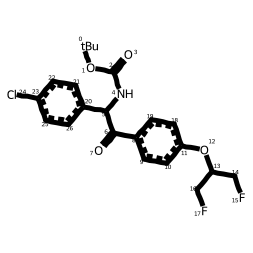 CC(C)(C)OC(=O)NC(C(=O)c1ccc(OC(CF)CF)cc1)c1ccc(Cl)cc1